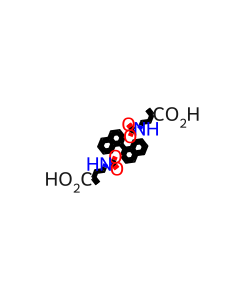 C=C(CCNC(=O)Oc1ccc2ccccc2c1-c1c(OC(=O)NCCC(=C)C(=O)O)ccc2ccccc12)C(=O)O